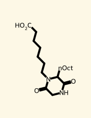 CCCCCCCCC1C(=O)NCC(=O)N1CCCCCCC(=O)O